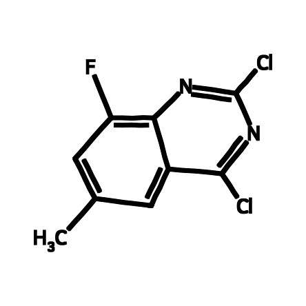 Cc1cc(F)c2nc(Cl)nc(Cl)c2c1